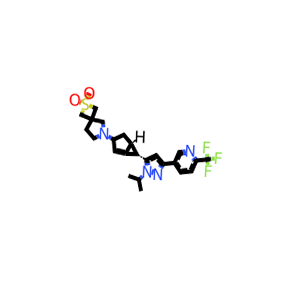 CC(C)n1nc(-c2ccc(C(F)(F)F)nc2)cc1[C@@H]1C2=CC(N3CCC4(C3)CS(=O)(=O)C4)C[C@H]21